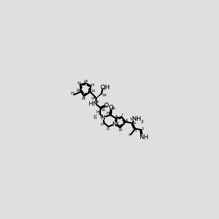 C/C(C=N)=C(/N)c1cc2n(c1)CCN([C@H](C)C(=O)N[C@H](CO)c1cccc(C)c1)C2=O